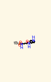 CC(C)(C)S(=O)(=O)NCCCCC(=O)Nc1ccc2[nH]ccc2c1